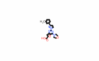 Cc1cccc(-c2ccn(-c3nc(N4CCOCC4)c4oc(C(=O)O)cc4n3)n2)c1